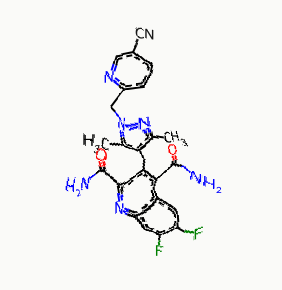 Cc1nn(Cc2ccc(C#N)cn2)c(C)c1-c1c(C(N)=O)nc2cc(F)c(F)cc2c1C(N)=O